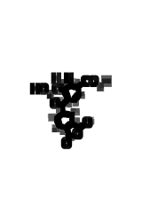 Nc1c(C(=O)O)ccc(C(=O)c2ccc3c(c2)C(=O)OC3=O)c1C(=O)O